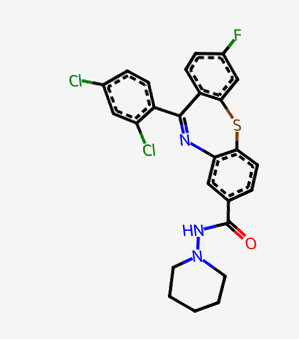 O=C(NN1CCCCC1)c1ccc2c(c1)N=C(c1ccc(Cl)cc1Cl)c1ccc(F)cc1S2